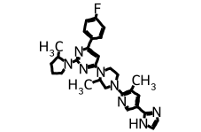 Cc1cc(-c2ncc[nH]2)cnc1N1CCN(c2cc(-c3ccc(F)cc3)nc(N3CCCC3C)n2)C(C)C1